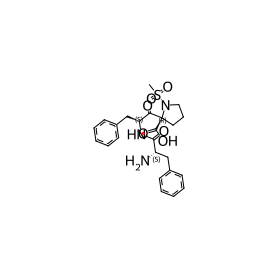 CS(=O)(=O)N1CCC[C@]1(C(=O)O)C(=O)[C@H](Cc1ccccc1)NC(=O)[C@@H](N)Cc1ccccc1